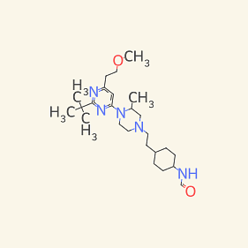 COCCc1cc(N2CCN(CCC3CCC(NC=O)CC3)CC2C)nc(C(C)(C)C)n1